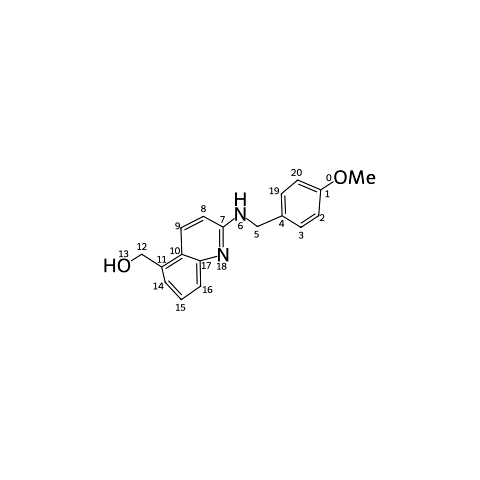 COc1ccc(CNc2ccc3c(CO)cccc3n2)cc1